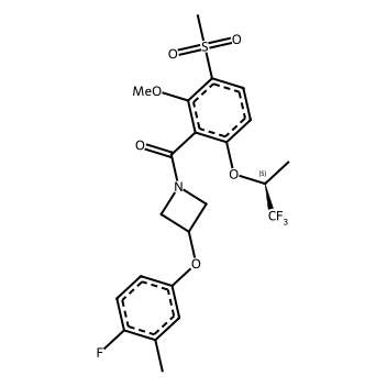 COc1c(S(C)(=O)=O)ccc(O[C@@H](C)C(F)(F)F)c1C(=O)N1CC(Oc2ccc(F)c(C)c2)C1